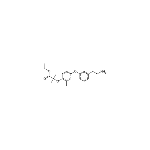 CCOC(=O)C(C)(C)Oc1ccc(Oc2cccc(CCN)c2)cc1C